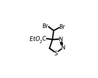 CCOC(=O)C1(C(Br)Br)CSN=N1